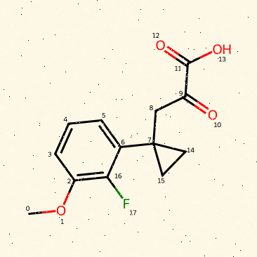 COc1cccc(C2(CC(=O)C(=O)O)CC2)c1F